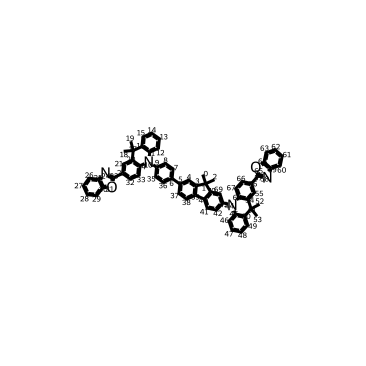 CC1(C)c2cc(-c3ccc(N4c5ccccc5C(C)(C)c5cc(-c6nc7ccccc7o6)ccc54)cc3)ccc2-c2ccc(N3c4ccccc4C(C)(C)c4cc(-c5nc6ccccc6o5)ccc43)cc21